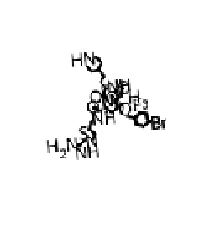 CS(=O)(=O)N[C@H](CCC1CCNCC1)C(=O)N1C[C@H](OCc2ccc(Br)cc2F)C[C@H]1C(=O)NCC1CN=C(C(=N)N)S1